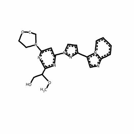 COC(CO)c1nc(N2CCOCC2)cc(-n2ccc(-c3cnc4ccccn34)n2)n1